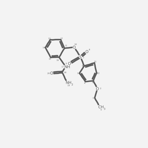 CCOc1ccc(S(=O)(=O)Oc2ccccc2NC(N)=O)cc1